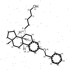 C[C@@]12CCC[C@H]1[C@@H]1[C@H](CCCCCO)Cc3cc(OCc4ccccc4)ccc3[C@H]1CC2